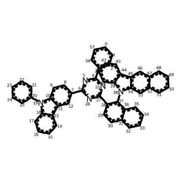 c1ccc(-c2nc(-c3ccc4c(c3)c3ccccc3n4-c3ccccc3)nc(-c3ccc4ccccc4c3-n3c4ccccc4c4cc5ccccc5cc43)n2)cc1